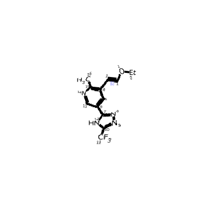 CCO/C=C/c1cc(-c2nnc(C(F)(F)F)[nH]2)cnc1C